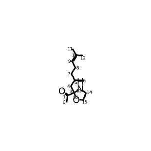 CC(=O)C1(CC(C)CCC=C(C)C)NCCO1